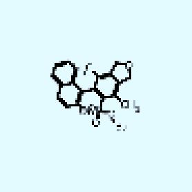 CCC(C)OP(=O)(O)c1c(C)c2c(c(C)c1-c1c(OC)ccc3ccccc13)COC2